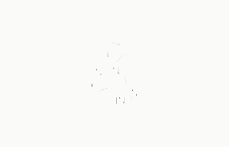 C1=CNC2C(=C1)C1NC=NC1=CN2c1ccccc1